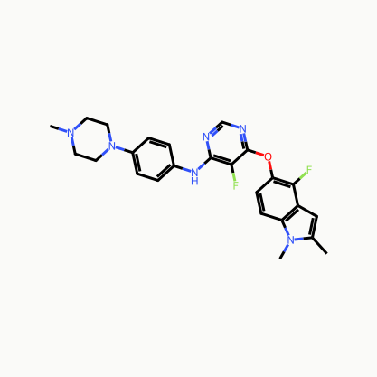 Cc1cc2c(F)c(Oc3ncnc(Nc4ccc(N5CCN(C)CC5)cc4)c3F)ccc2n1C